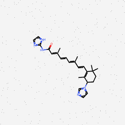 CC1=C(/C=C/C(C)=C/C=C/C(C)=C/C(=O)Nc2ncc[nH]2)C(C)(C)CCC1n1ccnc1